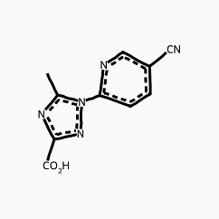 Cc1nc(C(=O)O)nn1-c1ccc(C#N)cn1